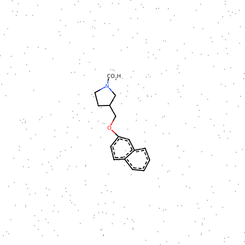 O=C(O)N1CCC(COc2ccc3ccccc3c2)C1